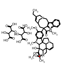 CCC1=CC2CN(C1)Cc1c([nH]c3ccccc13)C(C(=O)OC)(c1cc3c(cc1OC)N(C)C1C(O)(C(=O)OC)C(OC(C)=O)C4(CC)C=CCN5CCC31C54)C2.O=C(O)C(O)C(O)C(=O)O.O=C(O)C(O)C(O)C(=O)O